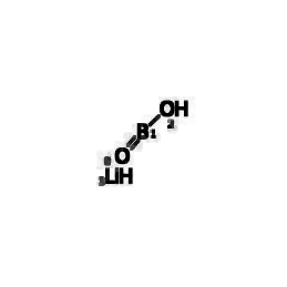 O=BO.[LiH]